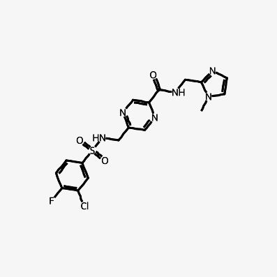 Cn1ccnc1CNC(=O)c1cnc(CNS(=O)(=O)c2ccc(F)c(Cl)c2)cn1